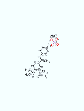 COP(=O)(OC)OCc1ccc(/C=C(\C)c2ccc3c(c2)C(C)(C)CCC3(C)C)cc1